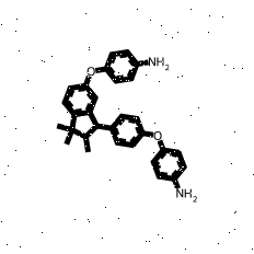 CC1C(c2ccc(Oc3ccc(N)cc3)cc2)c2cc(Oc3ccc(N)cc3)ccc2C1(C)C